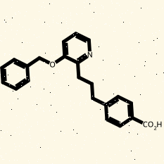 O=C(O)c1ccc(CCCc2ncccc2OCc2ccccc2)cc1